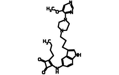 CCCCc1c(Nc2ccc3[nH]cc(CCCN4CCN(c5ncncc5OC)CC4)c3c2)c(=O)c1=O